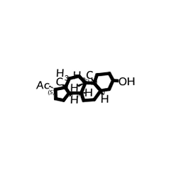 CC(=O)[C@H]1CC[C@H]2[C@@H]3CC[C@H]4CC(O)CC[C@]4(C)[C@H]3CC[C@]12C